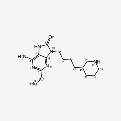 CCCCOc1nc(N)c2[nH]c(=O)n(CCCCC3CCCNC3)c2n1